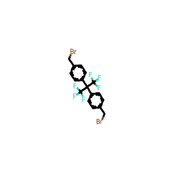 FC(F)(F)C(c1ccc(CBr)cc1)(c1ccc(CBr)cc1)C(F)(F)F